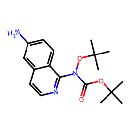 CC(C)(C)OC(=O)N(OC(C)(C)C)c1nccc2cc(N)ccc12